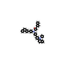 c1ccc(-n2c3cc(-c4ccc(N(c5ccc(-c6ccc7ccccc7c6)cc5)c5ccc(-c6ccc7c(ccc8ccccc87)c6)cc5)cc4)ccc3c3ccc4ccccc4c32)cc1